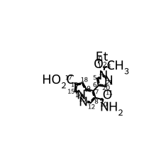 CCOC(C)n1cc(-c2c(C(N)=O)cnn3cc(C(=O)O)cc23)cn1